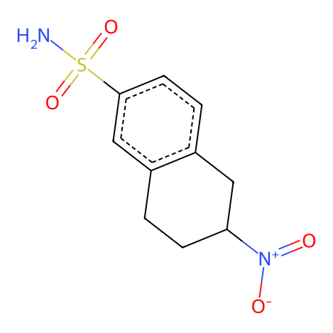 NS(=O)(=O)c1ccc2c(c1)CCC([N+](=O)[O-])C2